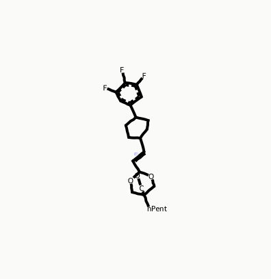 CCCCCC12COC(/C=C/C3CCC(c4cc(F)c(F)c(F)c4)CC3)(OC1)OC2